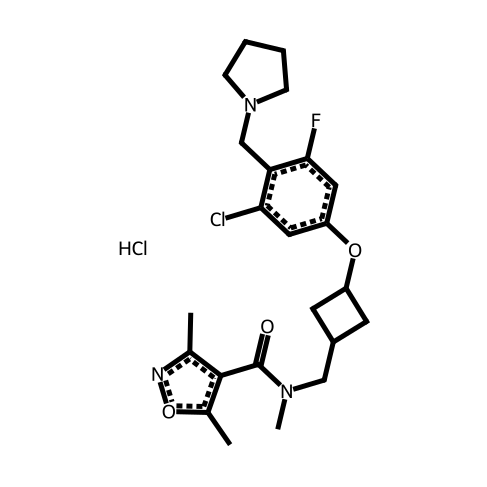 Cc1noc(C)c1C(=O)N(C)CC1CC(Oc2cc(F)c(CN3CCCC3)c(Cl)c2)C1.Cl